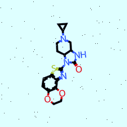 O=C1NC2CN(C3CC3)CCC2N1c1nc2c3c(ccc2s1)OCCO3